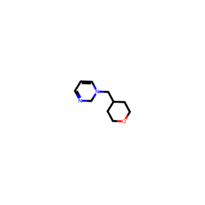 C1=CN(CC2CCOCC2)CN=C1